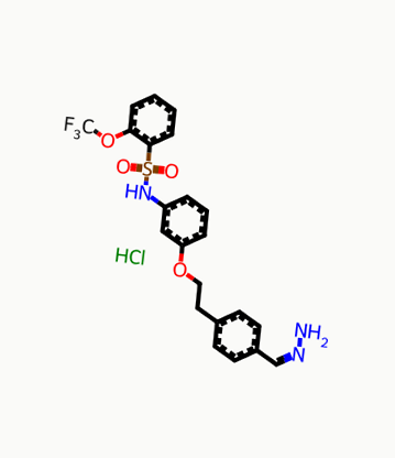 Cl.N/N=C\c1ccc(CCOc2cccc(NS(=O)(=O)c3ccccc3OC(F)(F)F)c2)cc1